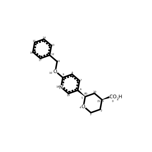 O=C(O)[C@H]1CCO[C@@H](c2ccc(OCc3ccccc3)nc2)C1